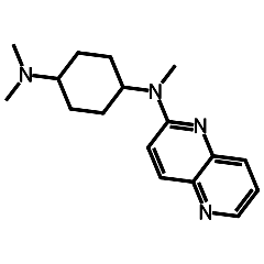 CN(C)C1CCC(N(C)c2ccc3ncccc3n2)CC1